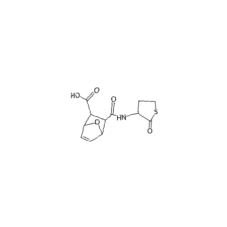 O=C1SCCC1NC(=O)C1C2C=CC(O2)C1C(=O)O